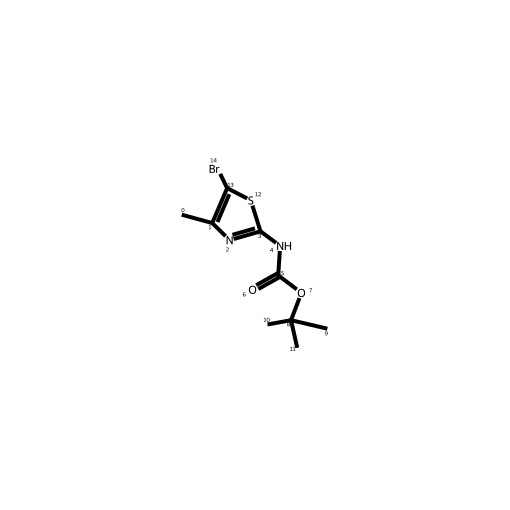 Cc1nc(NC(=O)OC(C)(C)C)sc1Br